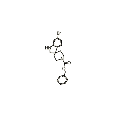 O=C(OCc1ccccc1)N1CCC2(CC1)CNc1cc(Br)ccc12